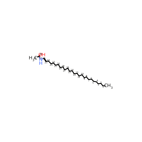 CCCCCCCCCCCCCCCCCCCCCCCCCC=CNC(C)O